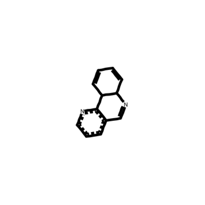 C1=CC2N=Cc3cccnc3C2C=C1